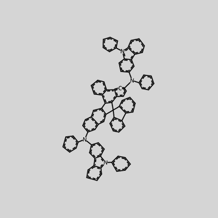 c1ccc(N(c2ccc3cc4c(cc3c2)C2(c3ccccc3-c3ccccc32)c2c-4c3ccccc3c3cc(N(c4ccccc4)c4ccc5c(c4)c4ccccc4n5-c4ccccc4)ccc23)c2ccc3c(c2)c2ccccc2n3-c2ccccc2)cc1